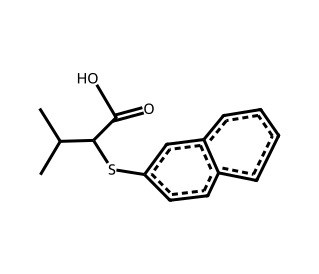 CC(C)C(Sc1ccc2ccccc2c1)C(=O)O